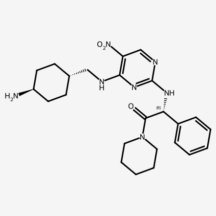 N[C@H]1CC[C@H](CNc2nc(N[C@@H](C(=O)N3CCCCC3)c3ccccc3)ncc2[N+](=O)[O-])CC1